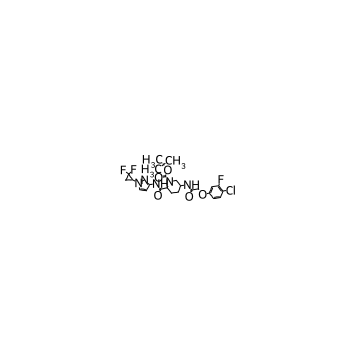 CC(C)(C)OC(=O)N1CC(NC(=O)COc2ccc(Cl)c(F)c2)CCC1C(=O)Nc1ccn(C2CC2(F)F)n1